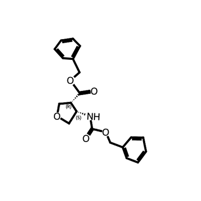 O=C(N[C@@H]1COC[C@@H]1C(=O)OCc1ccccc1)OCc1ccccc1